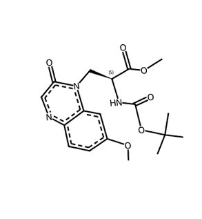 COC(=O)[C@H](Cn1c(=O)cnc2ccc(OC)cc21)NC(=O)OC(C)(C)C